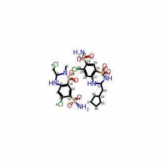 CN1C(CCl)Nc2cc(Cl)c(S(N)(=O)=O)cc2S1(=O)=O.NS(=O)(=O)c1cc2c(cc1Cl)NC(CC1CCCC1)NS2(=O)=O